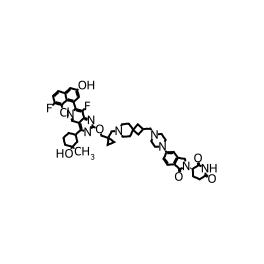 C[C@@]1(O)CCCC(c2nc(OCC3(CN4CCC5(CC4)CC(CN4CCN(c6ccc7c(c6)CN([C@H]6CCC(=O)NC6=O)C7=O)CC4)C5)CC3)nc3c(F)c(-c4cc(O)cc5ccc(F)c(Cl)c45)ncc23)C1